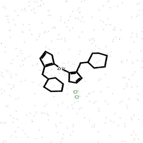 C1=CC(CC2CCCCC2)=[C]([Zr+2][C]2=C(CC3CCCCC3)C=CC2)C1.[Cl-].[Cl-]